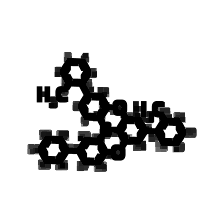 Cc1ccccc1-c1ccc2c(c1)Oc1cc(-c3ccccc3C)cc3c1B2c1cc(-c2ccccc2)ccc1O3